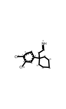 N=CCC1(c2ccc(Cl)c(Cl)c2)CCCCC1